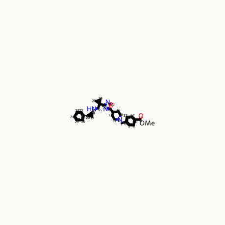 COC(=O)c1ccc(CN2CCC(c3nc(C4(CN[C@H]5C[C@@H]5c5ccccc5)CC4)no3)CC2)cc1